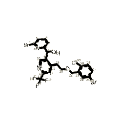 OC(c1cccc(Br)n1)c1cnc(C(F)(F)F)cc1CCOCc1cc(Br)ccc1Cl